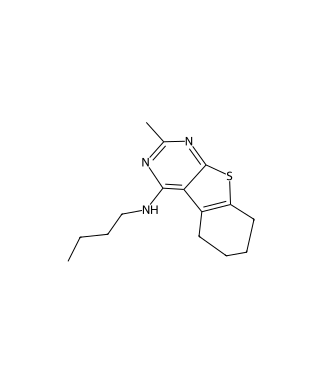 CCCCNc1nc(C)nc2sc3c(c12)CCCC3